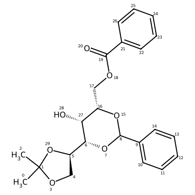 CC1(C)OC[C@H]([C@H]2OC(c3ccccc3)O[C@@H](COC(=O)c3ccccc3)[C@H]2O)O1